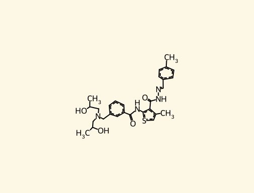 Cc1ccc(/C=N/NC(=O)c2c(C)csc2NC(=O)c2cccc(CN(CC(C)O)CC(C)O)c2)cc1